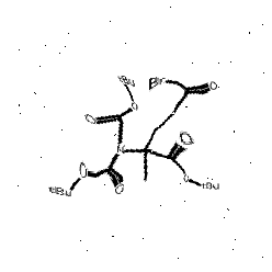 CC(C)(C)OC(=O)N(C(=O)OC(C)(C)C)C(C)(CCC(=O)Br)C(=O)OC(C)(C)C